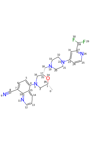 C[C@@H]1CN(c2ccc(C#N)c3ncccc23)C[C@H](CN2CCN(c3ccnc(C(F)F)c3)CC2)O1